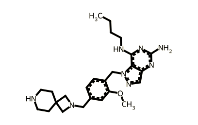 CCCCNc1nc(N)nc2cnn(Cc3ccc(CN4CC5(CCNCC5)C4)cc3OC)c12